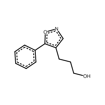 OCCCc1cnoc1-c1ccccc1